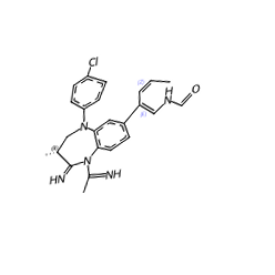 C/C=C\C(=C/NC=O)c1ccc2c(c1)N(c1ccc(Cl)cc1)C[C@@H](C)C(=N)N2C(C)=N